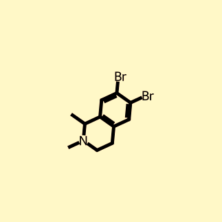 CC1c2cc(Br)c(Br)cc2CCN1C